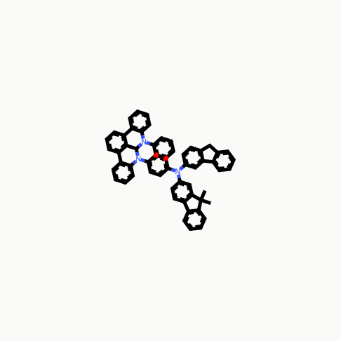 CC1(C)c2ccccc2-c2ccc(N(c3ccc(N4c5ccccc5-c5cccc6c5C4N(c4ccccc4)c4ccccc4-6)cc3)c3ccc4c(c3)-c3ccccc3C4)cc21